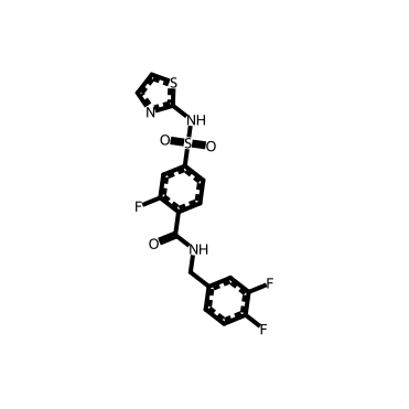 O=C(NCc1ccc(F)c(F)c1)c1ccc(S(=O)(=O)Nc2nccs2)cc1F